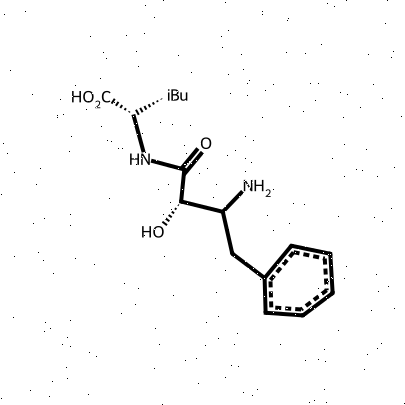 CC[C@@H](C)[C@H](NC(=O)[C@@H](O)C(N)Cc1ccccc1)C(=O)O